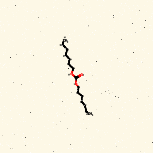 CCCCCCCOC(=O)OCCCCCCC